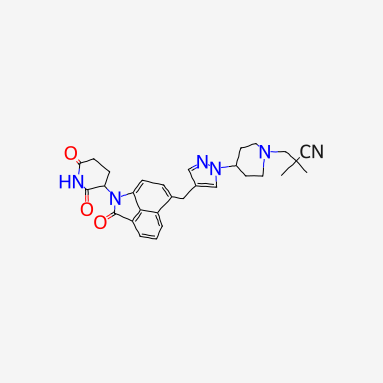 CC(C)(C#N)CN1CCC(n2cc(Cc3ccc4c5c(cccc35)C(=O)N4C3CCC(=O)NC3=O)cn2)CC1